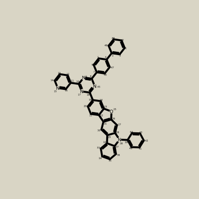 c1ccc(-c2ccc(-c3nc(-c4cccnc4)nc(-c4ccc5c(c4)oc4cc6c(cc45)c4ccccc4n6-c4ccccc4)n3)cc2)cc1